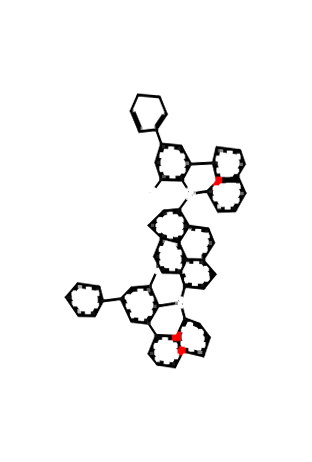 Fc1cc(C2=CCCC=C2)cc(-c2ccccc2)c1N(c1ccccc1)c1ccc2ccc3c(N(c4ccccc4)c4c(F)cc(-c5ccccc5)cc4-c4ccccc4)ccc4ccc1c2c43